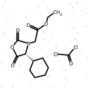 CCOC(=O)CN1C(=O)OC(=O)[C@H]1C1CCCCC1.O=C(Cl)Cl